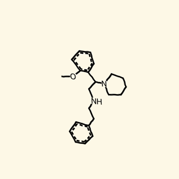 COc1ccccc1C(CNCCc1ccccc1)N1CCCCC1